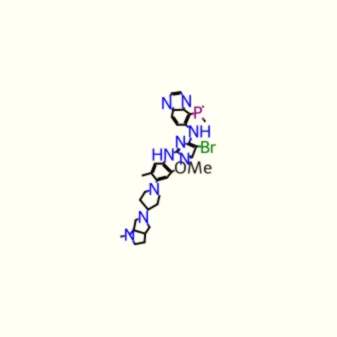 COc1cc(N2CCC(N3CC4CCN(C)C4C3)CC2)c(C)cc1Nc1ncc(Br)c(Nc2ccc3nccnc3c2P(C)C)n1